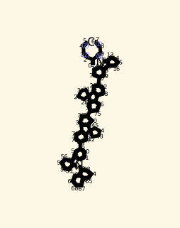 C=C1/C=C\C=C/C/C=C\C=C/1n1c2ccccc2c2cc(-c3ccc4c(c3)C3(CCCC3)c3cc(-c5ccc6c(c5)C5(CCCC5)c5cc(-c7ccc8c(c7)c7ccccc7n8-c7cccc8ccccc78)ccc5-6)ccc3-4)ccc21